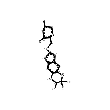 Cc1cnc(CSc2nc3cc4c(cc3[nH]2)OC(F)C(F)(F)O4)c(C)c1